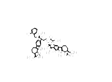 Cc1[nH]nc2c1CCCc1c-2[nH]c2cc3c(cc12)N(Cc1ccccc1Cl)C(=O)C3(C)CCOC(=O)C(C)N1C(=O)C(C)(C)c2cc3[nH]c4c(c3cc21)CCCc1c-4n[nH]c1C